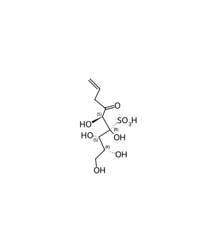 C=CCC(=O)[C@H](O)[C@@](O)([C@@H](O)[C@H](O)CO)S(=O)(=O)O